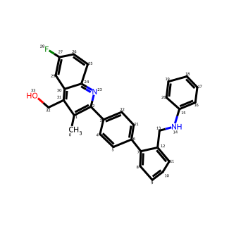 Cc1c(-c2ccc(-c3ccccc3CNc3ccccc3)cc2)nc2ccc(F)cc2c1CO